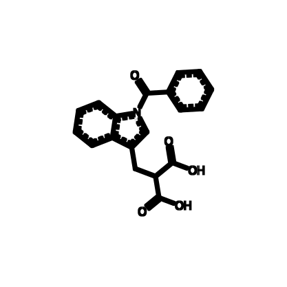 O=C(O)C(Cc1cn(C(=O)c2ccccc2)c2ccccc12)C(=O)O